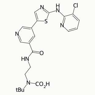 CC(C)(C)N(CCNC(=O)c1cncc(-c2cnc(Nc3ncccc3Cl)s2)c1)C(=O)O